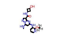 [2H]C([2H])([2H])Oc1ncccc1Nc1cc(NC)n2ncc(C(=O)NC3CC(O)C3)c2n1